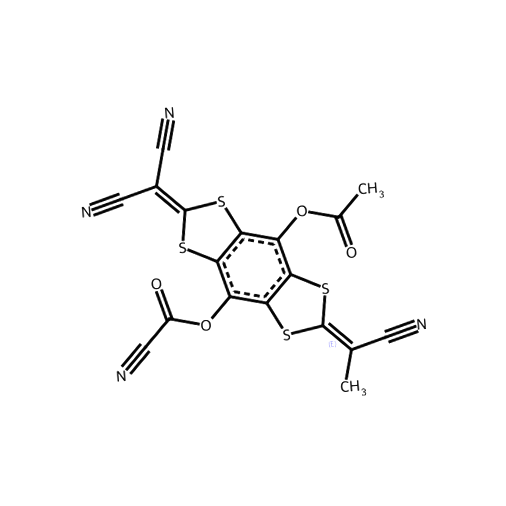 CC(=O)Oc1c2c(c(OC(=O)C#N)c3c1S/C(=C(/C)C#N)S3)SC(=C(C#N)C#N)S2